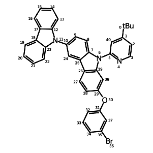 CC(C)(C)c1ccnc(-n2c3ccc(-n4c5ccccc5c5ccccc54)cc3c3ccc(Oc4cccc(Br)c4)cc32)c1